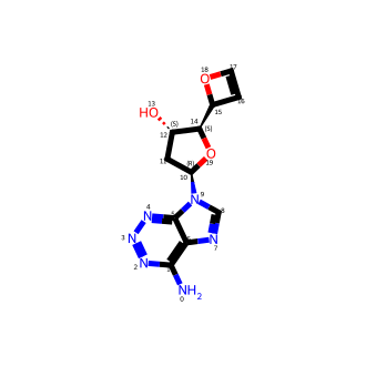 Nc1nnnc2c1ncn2[C@H]1C[C@H](O)[C@@H](C2C=CO2)O1